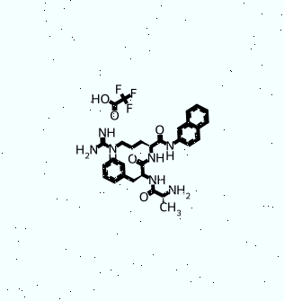 C[C@@H](N)C(=O)N[C@@H](Cc1ccccc1)C(=O)N[C@@H](CCCNC(=N)N)C(=O)Nc1ccc2ccccc2c1.O=C(O)C(F)(F)F